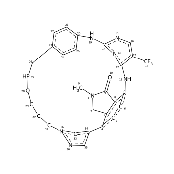 CN1Cc2c3ccc(c2C1=O)Nc1nc(ncc1C(F)(F)F)Nc1ccc(cc1)CPOCCCn1cc-3cn1